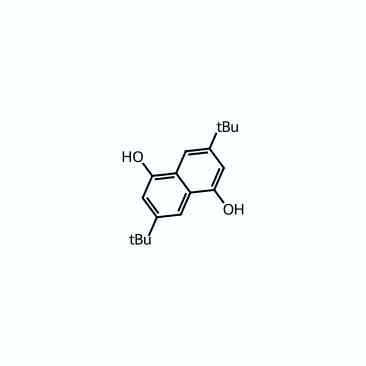 CC(C)(C)c1cc(O)c2cc(C(C)(C)C)cc(O)c2c1